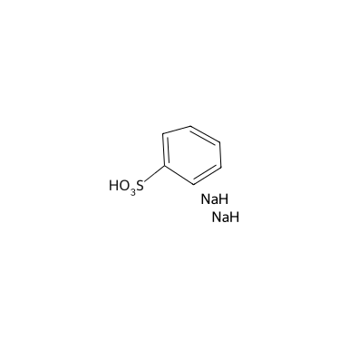 O=S(=O)(O)c1ccccc1.[NaH].[NaH]